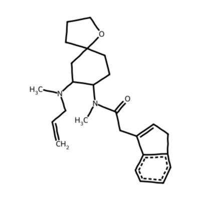 C=CCN(C)C1CC2(CCCO2)CCC1N(C)C(=O)CC1=CCc2ccccc21